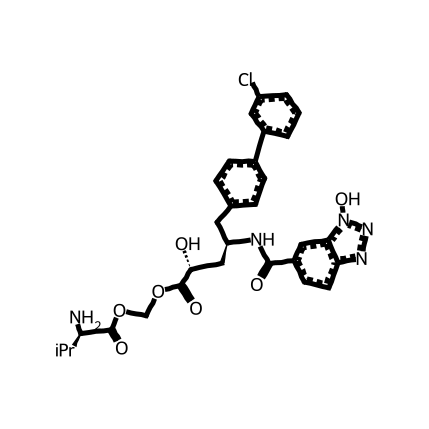 CC(C)[C@@H](N)C(=O)OCOC(=O)[C@H](O)C[C@@H](Cc1ccc(-c2cccc(Cl)c2)cc1)NC(=O)c1ccc2nnn(O)c2c1